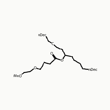 CCCCCCCCCCCCCCC(CCCCCCCCCCCCCC)OC(=O)CCCOCCOC